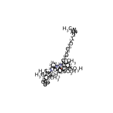 Cc1cn(CCCCOCCOCCOCCON2/C(=C/C=C3\CCCC(/C=C/C4=[N+](C)c5c(C)cc(S(=O)(=O)[O-])cc5C4(C)C)=C3Oc3ccc(S(=O)(=O)O)cc3)C(C)(C)c3cc(S(=O)(=O)O)cc(C)c32)nn1